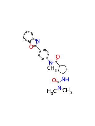 CN(C)C(=O)NC1CCC(C(=O)N(C)c2ccc(-c3nc4ccccc4o3)cc2)C1